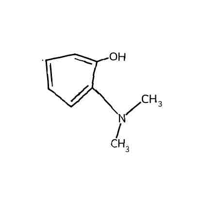 CN(C)c1cc[c]cc1O